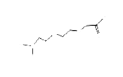 CC(C)C(=O)COCCOCCN(C)C